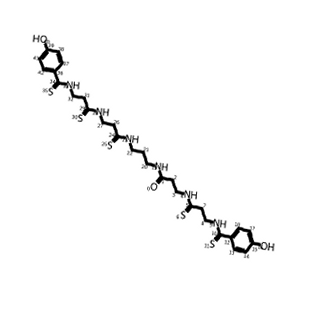 O=C(CCNC(=S)CCNC(=S)c1ccc(O)cc1)NCCCNC(=S)CCNC(=S)CCNC(=S)c1ccc(O)cc1